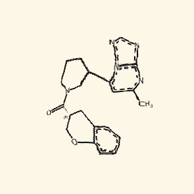 Cc1cc(C2CCCN(C(=O)[C@H]3COc4ccccc4C3)C2)n2ncnc2n1